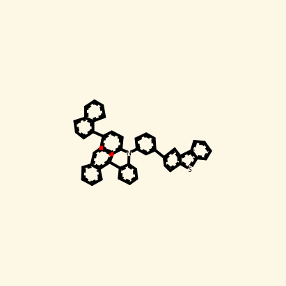 c1cc(-c2ccc3sc4ccccc4c3c2)cc(N(c2ccc(-c3cccc4ccccc34)cc2)c2ccccc2-c2cccc3ccccc23)c1